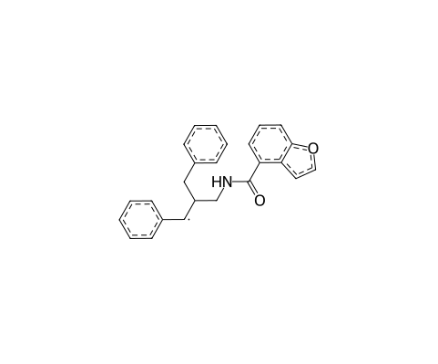 O=C(NCC([CH]c1ccccc1)Cc1ccccc1)c1cccc2occc12